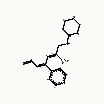 C=C/C=C(\C=C(\CNC1CCCCC1)OC)c1ccncc1